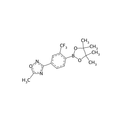 Cc1nc(-c2ccc(B3OC(C)(C)C(C)(C)O3)c(C(F)(F)F)c2)no1